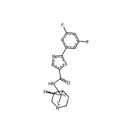 O=C(N[C@H]1CN2CCC1CC2)c1cnc(-c2cc(F)cc(F)c2)s1